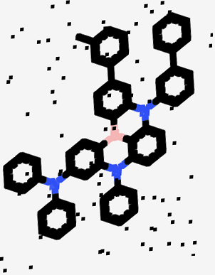 Cc1cccc(-c2ccc3c(c2)N(c2cccc(-c4ccccc4)c2)c2cccc4c2B3c2ccc(N(c3ccccc3)c3ccccc3)cc2N4c2ccccc2)c1